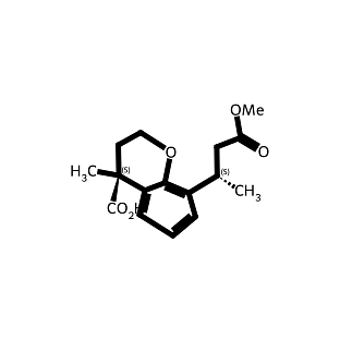 COC(=O)C[C@H](C)c1cccc2c1OCC[C@]2(C)C(=O)O